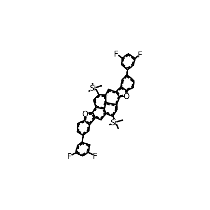 C[Si](C)(C)c1cc2c3oc4ccc(-c5cc(F)cc(F)c5)cc4c3cc3c([Si](C)(C)C)cc4c5oc6ccc(-c7cc(F)cc(F)c7)cc6c5cc1c4c32